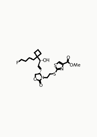 COC(=O)c1csc(SCCN2C(=O)OC[C@@H]2/C=C/[C@@H](O)C2(CCCCF)CCC2)n1